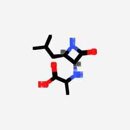 CC(C)C[C@H]1NC(=O)[C@@H]1NC(C)C(=O)O